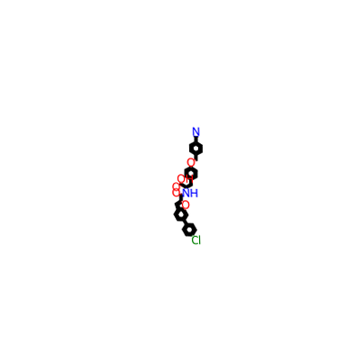 N#Cc1ccc(COc2ccc(CC(NC(=O)c3cc4ccc(-c5ccc(Cl)cc5)cc4o3)C(=O)O)cc2)cc1